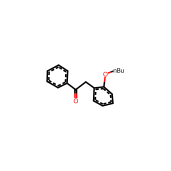 CCCCOc1ccccc1CC(=O)c1ccccc1